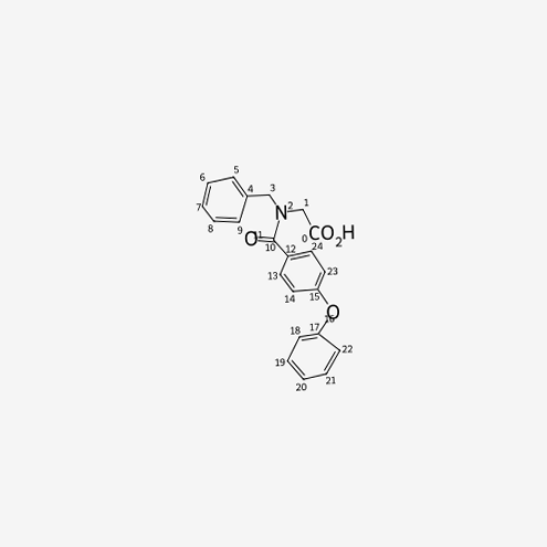 O=C(O)CN(Cc1ccccc1)C(=O)c1ccc(Oc2ccccc2)cc1